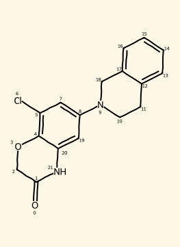 O=C1COc2c(Cl)cc(N3CCc4ccccc4C3)cc2N1